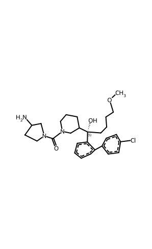 COCCCC[C@@](O)(c1ccccc1-c1ccc(Cl)cc1)C1CCCN(C(=O)N2CCC(N)C2)C1